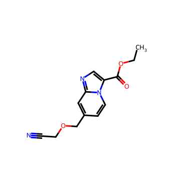 CCOC(=O)c1cnc2cc(COCC#N)ccn12